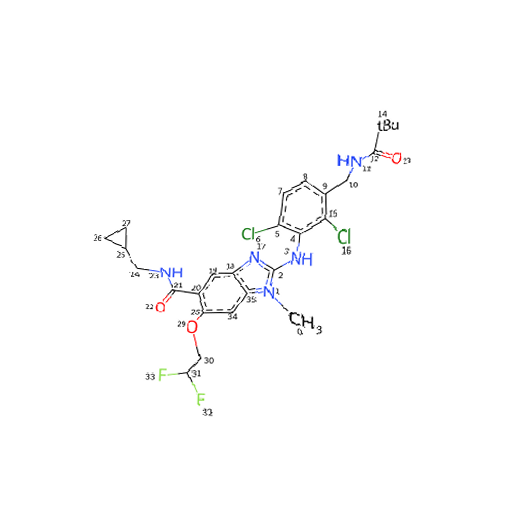 Cn1c(Nc2c(Cl)ccc(CNC(=O)C(C)(C)C)c2Cl)nc2cc(C(=O)NCC3CC3)c(OCC(F)F)cc21